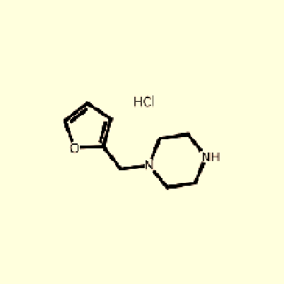 Cl.c1coc(CN2CCNCC2)c1